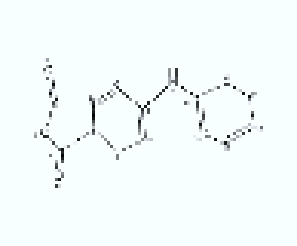 O=C1OC(=O)C2CC=C(NC3=CC=CCC3)C=C12